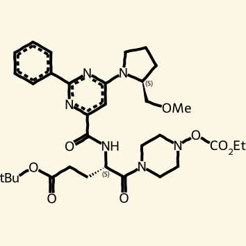 CCOC(=O)ON1CCN(C(=O)[C@H](CCC(=O)OC(C)(C)C)NC(=O)c2cc(N3CCC[C@H]3COC)nc(-c3ccccc3)n2)CC1